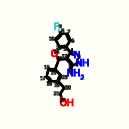 Nc1[nH]nc(-c2ccc(F)cc2)c1C(=O)c1cccc(CCO)c1